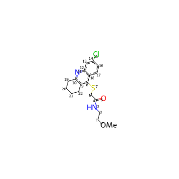 COCCNC(=O)CSc1c2c(nc3cc(Cl)ccc13)CCCC2